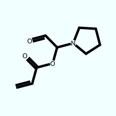 C=CC(=O)OC(C=O)N1CCCC1